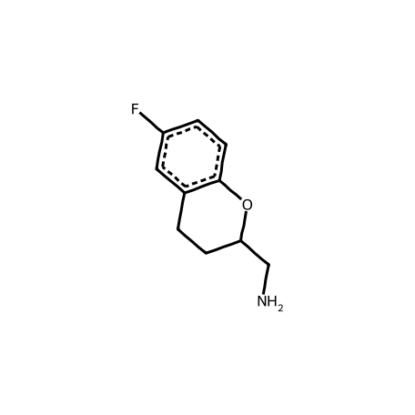 NCC1CCc2cc(F)ccc2O1